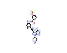 Cc1ccc(NC(=O)c2cccc(OC(F)(F)F)c2)cc1C#Cc1nn(C2CCN(C)CC2)c2ncnc(N)c12